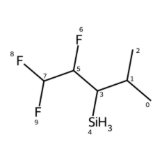 CC(C)C([SiH3])C(F)C(F)F